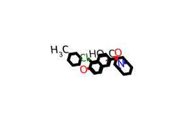 C[C@H]1CC[C@@H](Oc2ccc3cc(C(=O)N4C5CCCC4CC(C(=O)O)C5)ccc3c2Cl)CC1